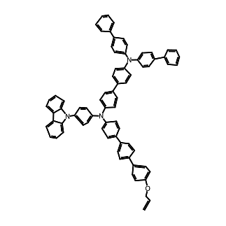 C=CCOc1ccc(-c2ccc(-c3ccc(N(c4ccc(-c5ccc(N(c6ccc(-c7ccccc7)cc6)c6ccc(-c7ccccc7)cc6)cc5)cc4)c4ccc(-n5c6ccccc6c6ccccc65)cc4)cc3)cc2)cc1